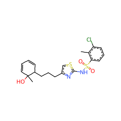 Cc1c(Cl)cccc1S(=O)(=O)Nc1nc(CCCC2C=CC=CC2(C)O)cs1